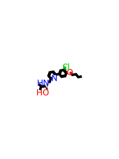 CCCCOc1ccc(-c2cccc(CN[C@@H](CO)C(C)C)n2)cc1Cl